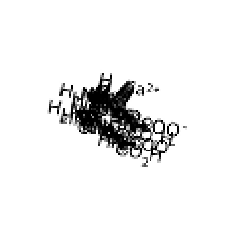 CN1c2c(nc(N)[nH]c2=O)NC[C@@H]1CNc1ccc(C(=O)NC(CCC(=O)[O-])C(=O)O)cc1.CN1c2c(nc(N)[nH]c2=O)NC[C@@H]1CNc1ccc(C(=O)NC(CCC(=O)[O-])C(=O)O)cc1.O.O.O.O.O.[Ca+2]